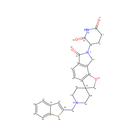 O=C1CCC(N2Cc3c(ccc4c3OCC43CCN(Cc4cc5ccccc5s4)CC3)C2=O)C(=O)N1